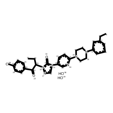 CCc1cccc(N2CCN(c3ccc(-n4cnn(C(CC)C(=O)c5ccc(Cl)cc5)c4=O)cn3)CC2)c1.Cl.Cl